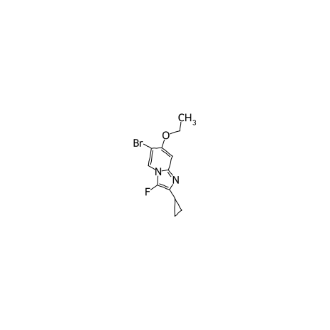 CCOc1cc2nc(C3CC3)c(F)n2cc1Br